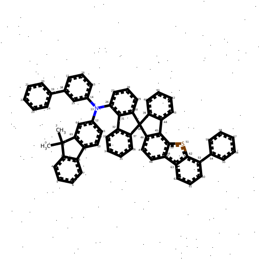 CC1(C)c2ccccc2-c2ccc(N(c3cccc(-c4ccccc4)c3)c3cccc4c3-c3ccccc3C43c4ccccc4-c4c3ccc3c4sc4c(-c5ccccc5)cccc43)cc21